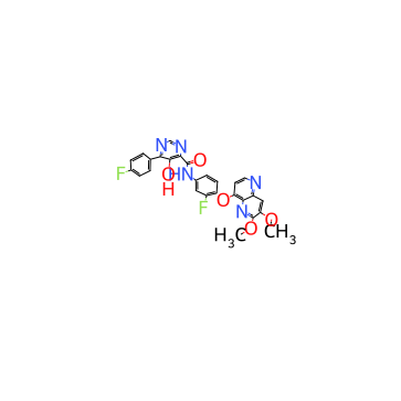 COc1cc2nccc(Oc3ccc(NC(=O)c4ncnc(-c5ccc(F)cc5)c4O)cc3F)c2nc1OC